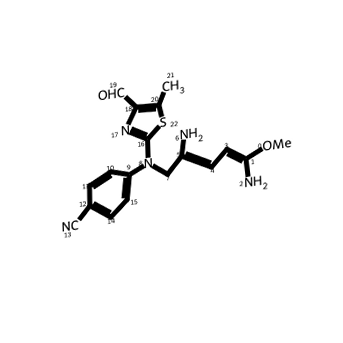 CO/C(N)=C/C=C(\N)CN(c1ccc(C#N)cc1)c1nc(C=O)c(C)s1